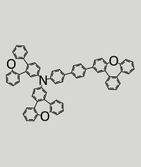 c1ccc2c(c1)Oc1ccc(-c3ccc(-c4ccc(N(c5ccc6c(c5)-c5ccccc5Oc5ccccc5-6)c5ccc6c(c5)-c5ccccc5Oc5ccccc5-6)cc4)cc3)cc1-c1ccccc1-2